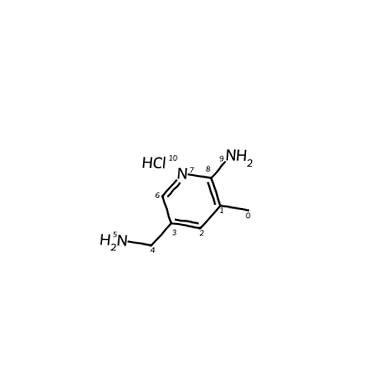 Cc1cc(CN)cnc1N.Cl